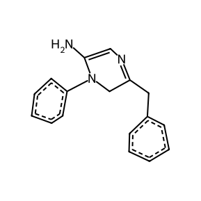 NC1=CN=C(Cc2ccccc2)CN1c1ccccc1